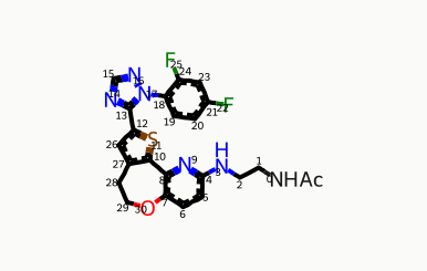 CC(=O)NCCNc1ccc2c(n1)-c1sc(-c3ncnn3-c3ccc(F)cc3F)cc1CCO2